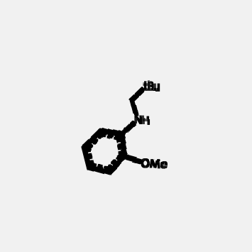 COc1ccccc1NCC(C)(C)C